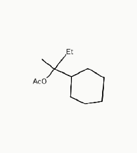 CCC(C)(OC(C)=O)C1CCCCC1